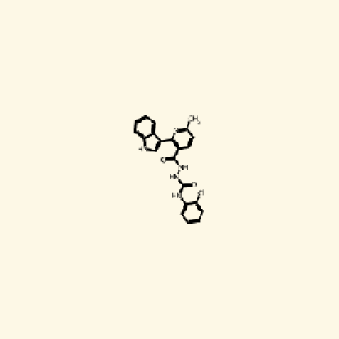 Cc1ccc(C(=O)NNC(=O)Nc2ccccc2Cl)c(-c2c[nH]c3ccccc23)n1